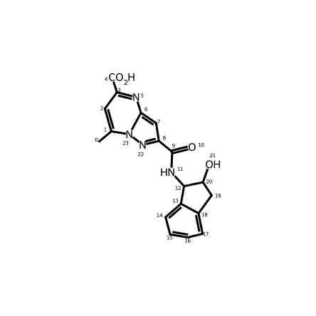 Cc1cc(C(=O)O)nc2cc(C(=O)NC3c4ccccc4CC3O)nn12